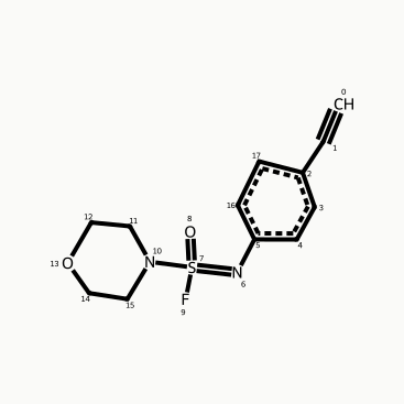 C#Cc1ccc(N=S(=O)(F)N2CCOCC2)cc1